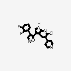 Fc1cccc(-c2cnoc2-c2c[nH]c3nc(Cl)c(-c4ccncc4)cc23)c1F